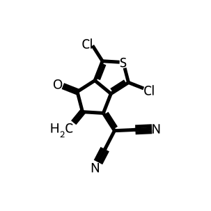 C=C1C(=O)c2c(Cl)sc(Cl)c2C1=C(C#N)C#N